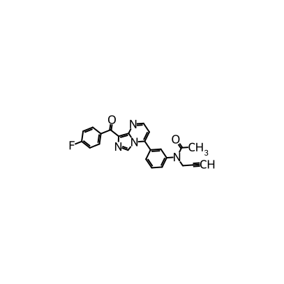 C#CCN(C(C)=O)c1cccc(-c2ccnc3c(C(=O)c4ccc(F)cc4)ncn23)c1